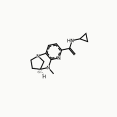 C=C(NC1CC1)c1ccc2c(n1)N(C)[C@H]1CCN2C1